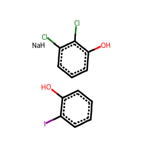 Oc1cccc(Cl)c1Cl.Oc1ccccc1I.[NaH]